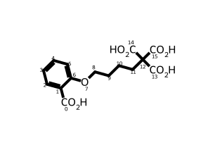 O=C(O)c1ccccc1OCCCCC(C(=O)O)(C(=O)O)C(=O)O